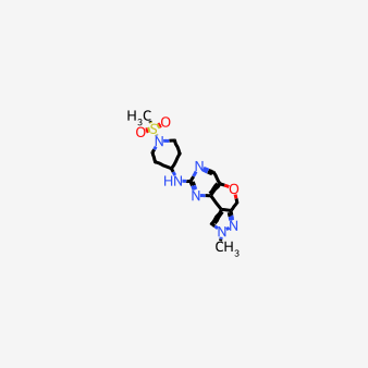 Cn1cc2c(n1)COc1cnc(NC3CCN(S(C)(=O)=O)CC3)nc1-2